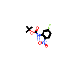 CC(C)(C)OC(=O)Nc1cc(F)ccc1[N+](=O)[O-]